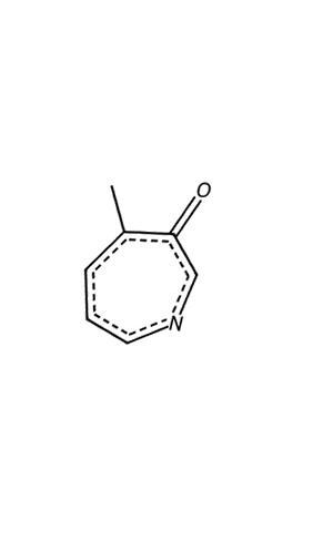 Cc1cccncc1=O